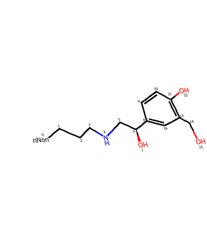 CCCCCCCCCCCCNC[C@H](O)c1ccc(O)c(CO)c1